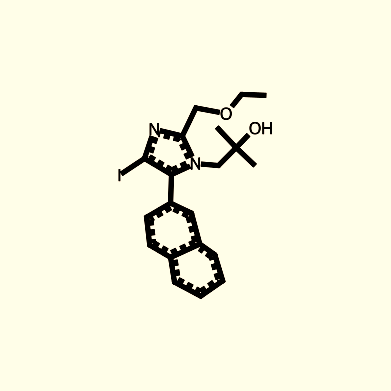 CCOCc1nc(I)c(-c2ccc3ccccc3c2)n1CC(C)(C)O